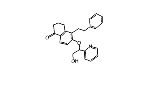 O=C1CCCc2c1ccc(OC(CO)c1ccccn1)c2CCc1ccccc1